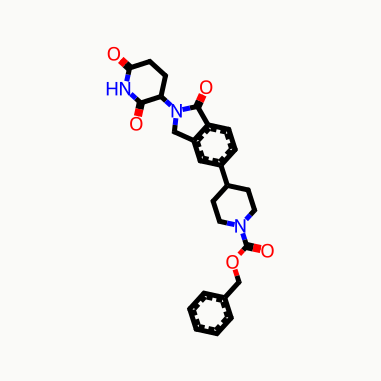 O=C1CCC(N2Cc3cc(C4CCN(C(=O)OCc5ccccc5)CC4)ccc3C2=O)C(=O)N1